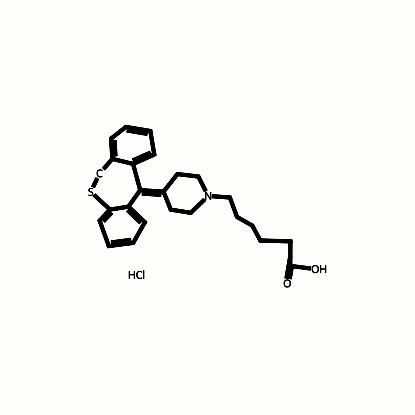 Cl.O=C(O)CCCCCN1CCC(=C2c3ccccc3CSc3ccccc32)CC1